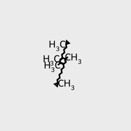 Cc1cc(CCCCCCC2(C)CC2)c(C)c(C)c1CCCCC1(C)CC1